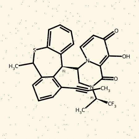 CC#Cc1cccc2c1[C@H](C1CN([C@H](C)C(F)(F)F)C(=O)c3c(O)c(=O)ccn31)c1ccccc1SC2C